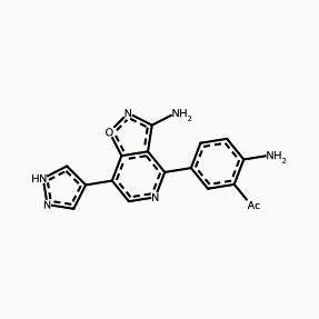 CC(=O)c1cc(-c2ncc(-c3cn[nH]c3)c3onc(N)c23)ccc1N